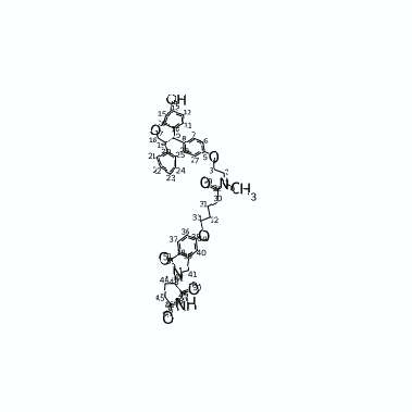 CN(CCOc1ccc(C2c3ccc(O)cc3OCC2c2ccccc2)cc1)C(=O)CCCCOc1ccc2c(c1)CN(C1CCC(=O)NC1=O)C2=O